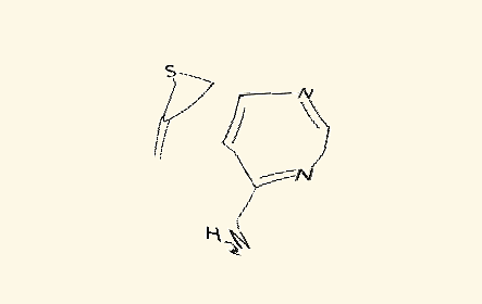 C=C1CS1.Nc1ccncn1